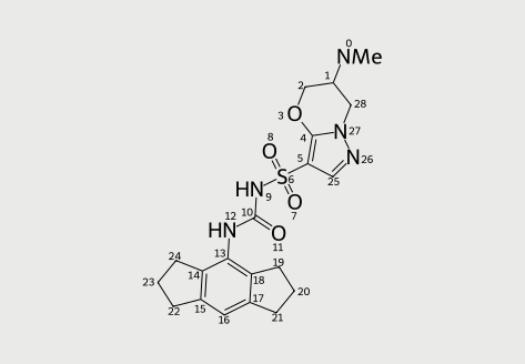 CNC1COc2c(S(=O)(=O)NC(=O)Nc3c4c(cc5c3CCC5)CCC4)cnn2C1